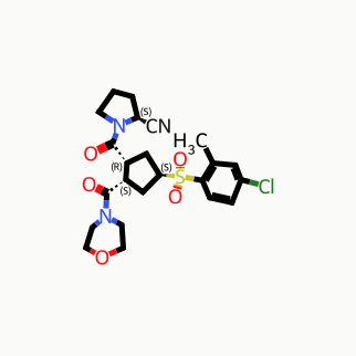 Cc1cc(Cl)ccc1S(=O)(=O)[C@H]1C[C@H](C(=O)N2CCOCC2)[C@H](C(=O)N2CCC[C@H]2C#N)C1